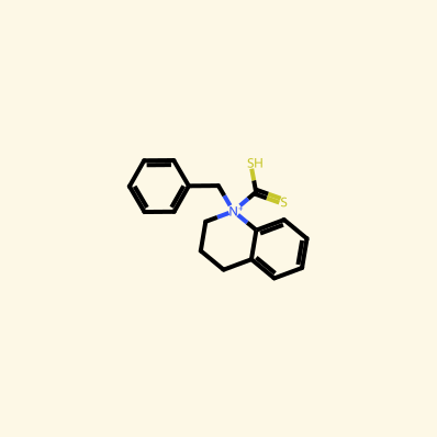 S=C(S)[N+]1(Cc2ccccc2)CCCc2ccccc21